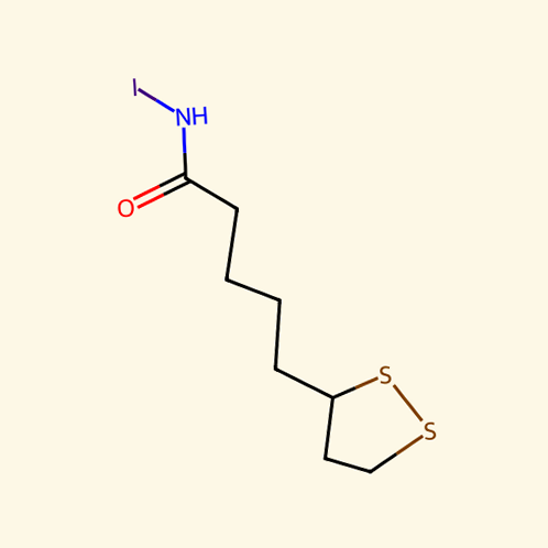 O=C(CCCCC1CCSS1)NI